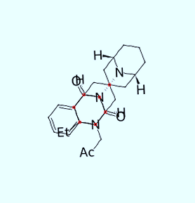 CCC1C[C@@H]2C[C@H](C1)C[C@@H](N1[C@@H]3CCC[C@H]1C[C@@H](n1c(=O)c4ccccc4n(CC(C)=O)c1=O)C3)C2